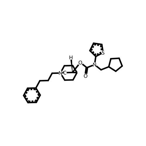 O=C(O[C@H]1C[N+]2(CCCc3ccccc3)CCC1CC2)N(CC1CCCC1)c1cccs1